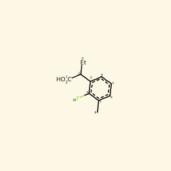 CCC(C(=O)O)c1cccc(C)c1F